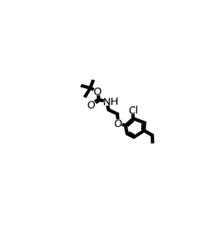 CCc1ccc(OCCNC(=O)OC(C)(C)C)c(Cl)c1